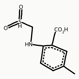 Cc1ccc(NC[SH](=O)=O)c(C(=O)O)c1